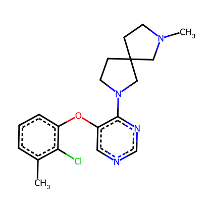 Cc1cccc(Oc2cncnc2N2CCC3(CCN(C)C3)C2)c1Cl